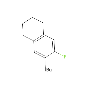 CC(C)(C)c1cc2c(cc1F)CCCC2